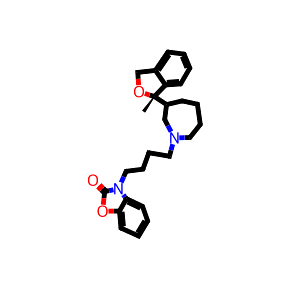 C[C@@]1(C2CCCCN(CCCCn3c(=O)oc4ccccc43)C2)OCc2ccccc21